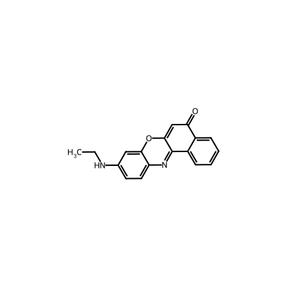 CCNc1ccc2nc3c4ccccc4c(=O)cc-3oc2c1